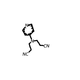 N#CCCN(CCC#N)c1ccncc1